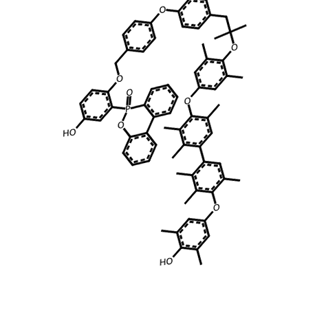 Cc1cc(Oc2c(C)cc(-c3cc(C)c(Oc4cc(C)c(OC(C)(C)Cc5ccc(Oc6ccc(COc7ccc(O)cc7P7(=O)Oc8ccccc8-c8ccccc87)cc6)cc5)c(C)c4)c(C)c3C)c(C)c2C)cc(C)c1O